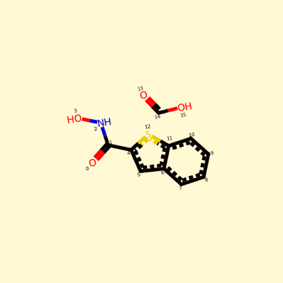 O=C(NO)c1cc2ccccc2s1.O=CO